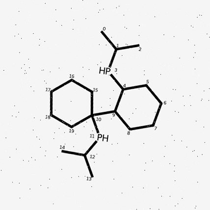 CC(C)PC1CCCCC1C1(PC(C)C)CCCCC1